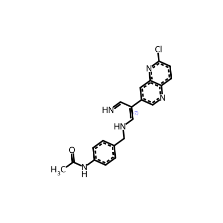 CC(=O)Nc1ccc(CN/C=C(\C=N)c2cnc3ccc(Cl)nc3c2)cc1